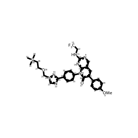 COc1ccc(-c2cc3cnc(NCC(F)(F)F)nc3n(-c3ccc(-c4ncn(COCC[Si](C)(C)C)n4)cc3)c2=O)cc1